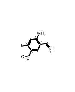 Cc1cc(N)c(C=N)cc1C=O